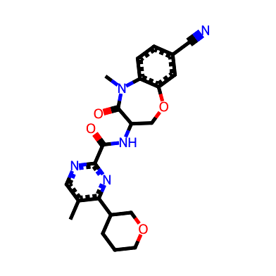 Cc1cnc(C(=O)NC2COc3cc(C#N)ccc3N(C)C2=O)nc1C1CCCOC1